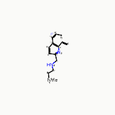 C=Cc1nc(CNCCNC)ccc1/C=C\C